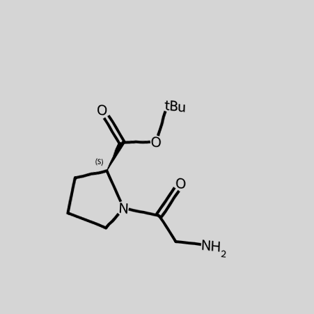 CC(C)(C)OC(=O)[C@@H]1CCCN1C(=O)CN